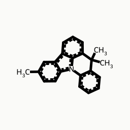 Cc1ccc2c(c1)c1cccc3c1n2-c1ccccc1C3(C)C